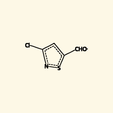 O=[C]c1cc(Cl)ns1